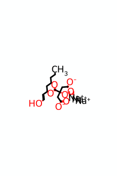 CCCCCCC=CO.O=C([O-])CC(O)(CC(=O)[O-])C(=O)[O-].[Na+].[Na+].[Na+]